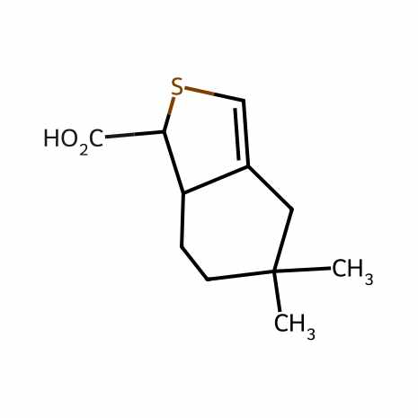 CC1(C)CCC2C(=CSC2C(=O)O)C1